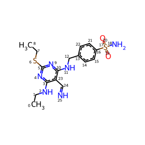 CCNc1nc(SCC)nc(NCc2ccc(S(N)(=O)=O)cc2)c1C=N